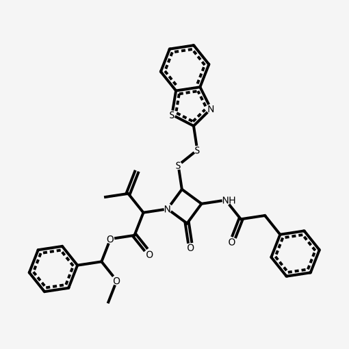 C=C(C)C(C(=O)OC(OC)c1ccccc1)N1C(=O)C(NC(=O)Cc2ccccc2)C1SSc1nc2ccccc2s1